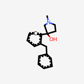 CN1CCC(O)(c2ccccc2Cc2ccccc2)C1